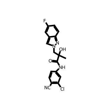 CC(O)(Cn1cc2cc(F)ccc2n1)C(=O)Nc1ccc(C#N)c(Cl)c1